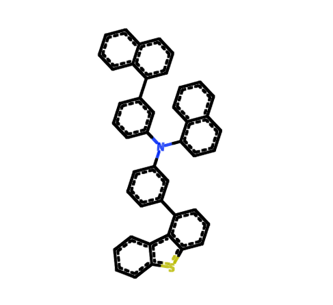 c1cc(-c2cccc3ccccc23)cc(N(c2cccc(-c3cccc4sc5ccccc5c34)c2)c2cccc3ccccc23)c1